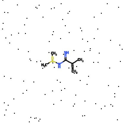 C=C(C)C(=N)N[SH](C)C